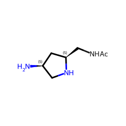 CC(=O)NC[C@@H]1C[C@H](N)CN1